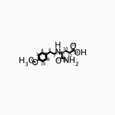 COc1ccc(CCN[C@@H](CCC(=O)O)C(N)=O)cc1